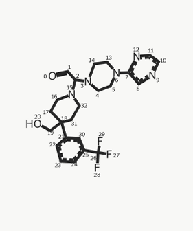 O=CC(N1CCN(c2cnccn2)CC1)N1CCC(CO)(c2cccc(C(F)(F)F)c2)CC1